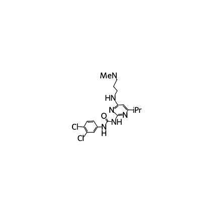 CNCCCNc1cc(C(C)C)nc(NC(=O)Nc2ccc(Cl)c(Cl)c2)n1